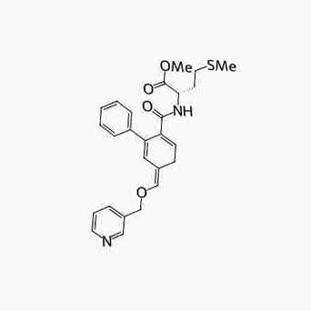 COC(=O)[C@H](CCSC)NC(=O)C1=CCC(=COCc2cccnc2)C=C1c1ccccc1